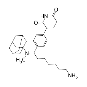 CN(C(CCCCCCN)c1ccc(C2CCC(=O)NC2=O)cc1)C12CC3CC(CC(C3)C1)C2